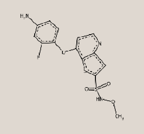 CONS(=O)(=O)c1cc2nccc(Oc3ccc(N)cc3F)c2s1